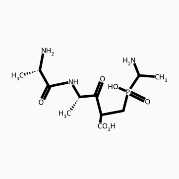 CC(N)P(=O)(O)CC(C(=O)O)C(=O)[C@H](C)NC(=O)[C@H](C)N